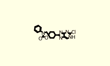 O=C1OC2(CCC(c3nc4c[nH]c(Cl)nc-4n3)CC2)CN1c1ccccc1